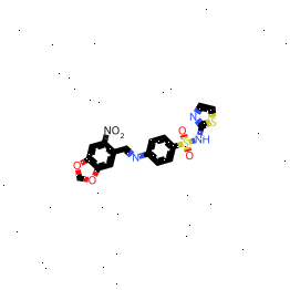 O=[N+]([O-])c1cc2c(cc1/C=N/c1ccc(S(=O)(=O)Nc3nccs3)cc1)OCO2